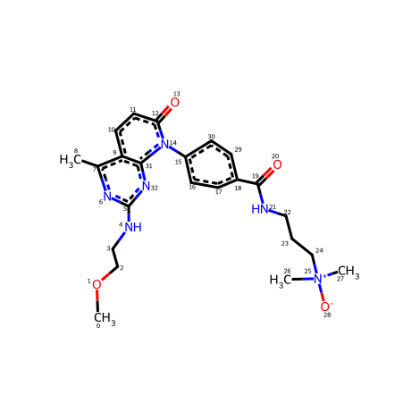 COCCNc1nc(C)c2ccc(=O)n(-c3ccc(C(=O)NCCC[N+](C)(C)[O-])cc3)c2n1